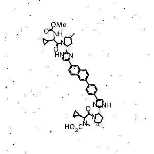 COC(=O)NC(C(=O)N1C[C@@H](C)C[C@H]1c1nc(-c2ccc3cc(-c4ccc(-c5c[nH]c([C@@H]6C[C@H](C)CN6C(=O)C(C6CC6)N(C)C(=O)O)n5)cc4)ccc3c2)c[nH]1)C1CC1